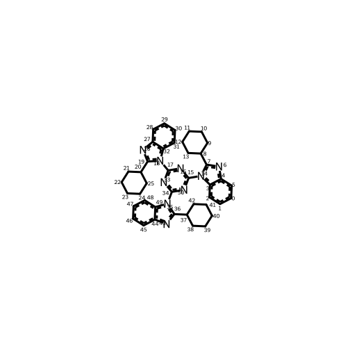 c1ccc2c(c1)nc(C1CCCCC1)n2-c1nc(-n2c(C3CCCCC3)nc3ccccc32)nc(-n2c(C3CCCCC3)nc3ccccc32)n1